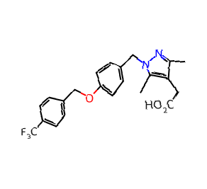 Cc1nn(Cc2ccc(OCc3ccc(C(F)(F)F)cc3)cc2)c(C)c1CC(=O)O